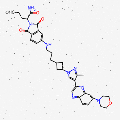 Cc1nn(C2CC(CCCNc3ccc4c(c3)C(=O)N(C(CCC=O)C(N)=O)C4=O)C2)cc1-c1cnc2ccc(N3CCOCC3)cc2n1